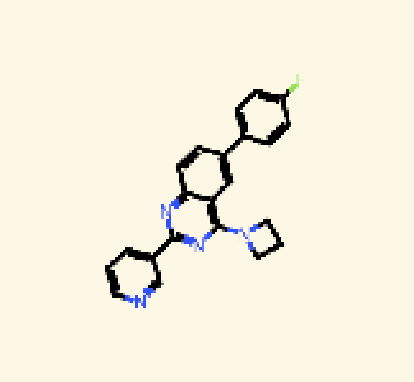 Fc1ccc(-c2ccc3nc(-c4cccnc4)nc(N4CCC4)c3c2)cc1